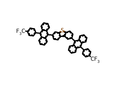 FC(F)(F)c1ccc(-c2c3ccccc3c(-c3ccc4c(c3)sc3ccc(-c5c6ccccc6c(-c6ccc(C(F)(F)F)cc6)c6ccccc56)cc34)c3ccccc23)cc1